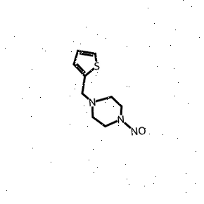 O=NN1CCN(Cc2cccs2)CC1